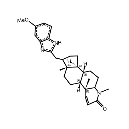 COc1ccc2[nH]c(CC3CC[C@H]4[C@@H]5CCC6N(C)C(=O)C=C[C@]6(C)[C@@H]5CC[C@]34C)nc2c1